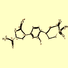 N=[S@]1(=O)CC[C@@H](c2ccc(N3C[C@H](C(N)=O)OC3=O)cc2F)CC1=O